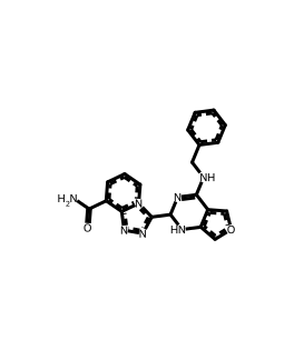 NC(=O)c1cccn2c(C3N=C(NCc4ccccc4)c4cocc4N3)nnc12